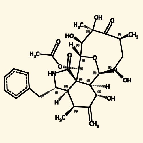 C=C1[C@@H](C)[C@H]2[C@H](Cc3ccccc3)NC(=O)[C@@]23[C@@H]([C@@H]2O[C@H]([C@H]3OC(C)=O)[C@@H](O)[C@@](C)(O)C(=O)[C@@H](C)C[C@H]2O)[C@@H]1O